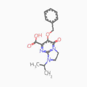 CC(C)N1CCn2c1nc(C(=O)O)c(OCc1ccccc1)c2=O